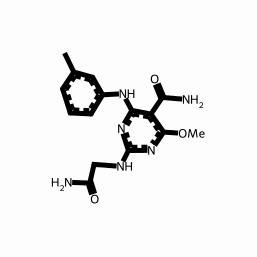 COc1nc(NCC(N)=O)nc(Nc2cccc(C)c2)c1C(N)=O